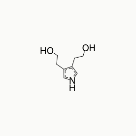 OCCc1c[nH]cc1CCO